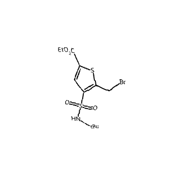 CCOC(=O)c1cc(S(=O)(=O)NC(C)(C)C)c(CBr)s1